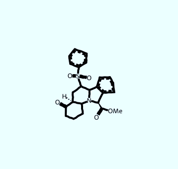 COC(=O)[C@@H]1c2ccccc2C2C(S(=O)(=O)c3ccccc3)C[C@@H]3C(=O)CCCC3N21